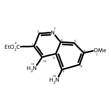 CCOC(=O)c1cnc2cc(OC)cc(N)c2c1N